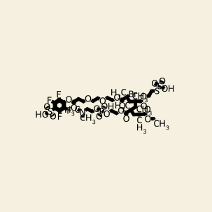 CCOC(=O)C(C)(C)CC(C)(CC(C)(CC(C)(Br)C(=O)OCCOCCOCCC(=O)Oc1c(F)c(F)c(S(=O)(=O)O)c(F)c1F)C(=O)OCCSS(=O)(=O)O)C(=O)OCCOP(=O)(O)OCCN(C)C